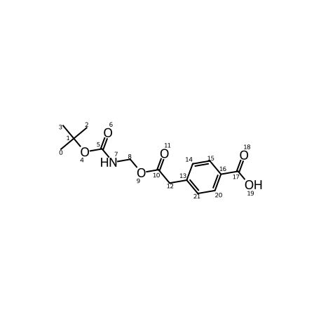 CC(C)(C)OC(=O)NCOC(=O)Cc1ccc(C(=O)O)cc1